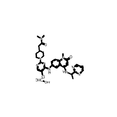 CC(Nc1cc(=O)n(C)c2ccc(Nc3nc(N4CCC(CC(=O)N(C)C)CC4)ncc3Cl)cc12)c1ncccn1.O=CO